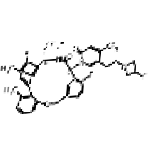 Cc1cc2c(F)c(c1F)[C@H](CC(=O)O)NC(=O)[C@@H](n1cc(CCN3CC(F)C3)c(C(F)(F)F)cc1=O)c1cc(ccc1F)COc1cccc(C)c1-2